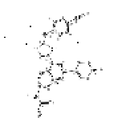 C=CC(=O)N(C)c1ccc2c(N3CCC(Nc4ncc(C#N)cn4)C3)nc(C3=CCN(C)CC3)cc2c1